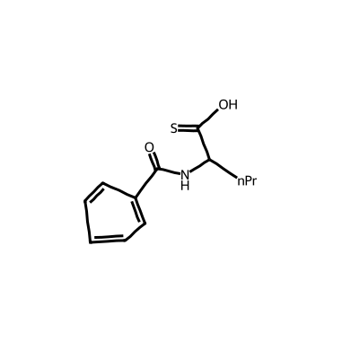 CCCC(NC(=O)c1ccccc1)C(O)=S